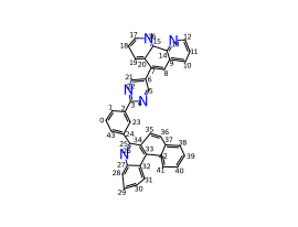 c1cc(-c2ncc(-c3cc4cccnc4c4ncccc34)cn2)cc(-c2nc3ccccc3c3c2ccc2ccccc23)c1